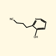 N#CCCCc1ncccc1O